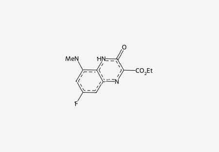 CCOC(=O)c1nc2cc(F)cc(NC)c2[nH]c1=O